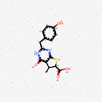 CC1c2c(nc(Cc3ccc(O)cc3)[nH]c2=O)SC1C(=O)O